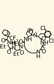 CC[C@H](NC(=O)C1(C(F)(F)F)CC2CCC1C2)C(=O)N[C@@H](CC)C(=O)N(CC)[C@H]1CCCCNC(=O)C(C)(C)NC(=O)[C@H](Cc2cc(Cl)ccc2Cl)N(C)C(=O)[C@H](CC(C)C)NC1=O